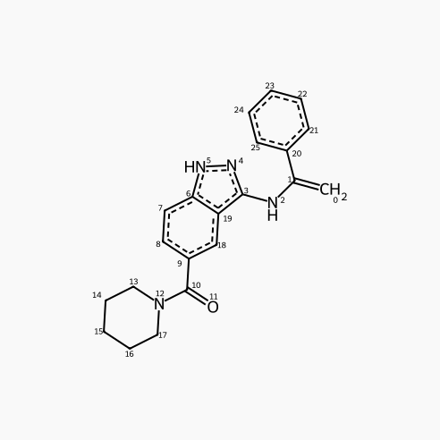 C=C(Nc1n[nH]c2ccc(C(=O)N3CCCCC3)cc12)c1ccccc1